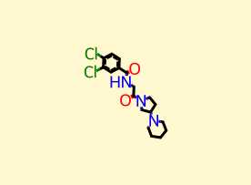 O=C(NCC(=O)N1CCC(N2CCCCC2)C1)c1ccc(Cl)c(Cl)c1